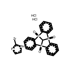 Cl.Cl.O=P(c1ccccc1)(c1ccccc1)C(P(=O)(c1ccccc1)c1ccccc1)P(=O)(c1ccccc1)c1ccccc1.[Zr][c]1pcc[pH]1